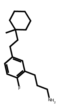 CC1(CCc2ccc(F)c(CCCN)c2)CCCCC1